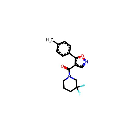 Cc1ccc(-c2oncc2C(=O)N2CCCC(F)(F)C2)cc1